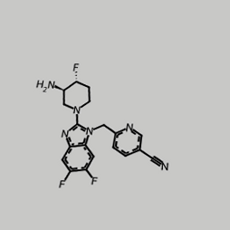 N#Cc1ccc(Cn2c(N3CC[C@@H](F)[C@H](N)C3)nc3cc(F)c(F)cc32)nc1